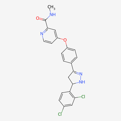 CNC(=O)c1cc(Oc2ccc(C3=NNC(c4ccc(Cl)cc4Cl)C3)cc2)ccn1